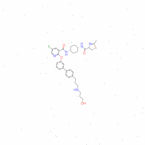 CC1=NC(C(=O)N[C@H]2CC[C@@H](NC(=O)c3cc(F)cnc3Oc3cccc(-c4ccc(CCCNCCCO)cc4)c3)CC2)CS1